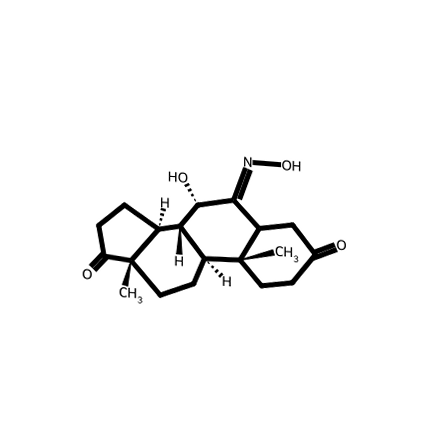 C[C@]12CCC(=O)CC1/C(=N\O)[C@@H](O)[C@@H]1[C@@H]2CC[C@]2(C)C(=O)CC[C@@H]12